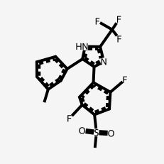 Cc1cccc(-c2[nH]c(C(F)(F)F)nc2-c2cc(F)c(S(C)(=O)=O)cc2F)c1